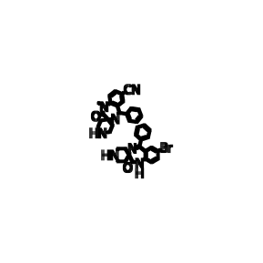 CN1C(=O)C2(CCNCC2)N=C(c2ccccc2)c2cc(C#N)ccc21.O=C1Nc2ccc(Br)cc2C(c2ccccc2)=NC12CCNCC2